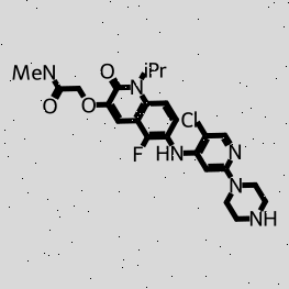 CNC(=O)COc1cc2c(F)c(Nc3cc(N4CCNCC4)ncc3Cl)ccc2n(C(C)C)c1=O